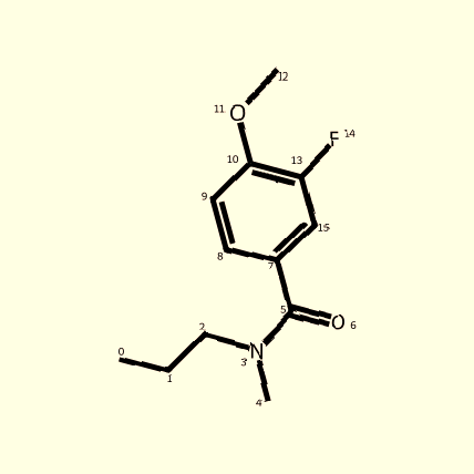 CCCN(C)C(=O)c1ccc(OC)c(F)c1